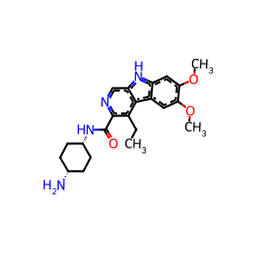 CCc1c(C(=O)N[C@H]2CC[C@@H](N)CC2)ncc2[nH]c3cc(OC)c(OC)cc3c12